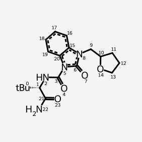 CC(C)(C)[C@H](NC(=O)n1c(=O)n(CC2CCCO2)c2ccccc21)C(N)=O